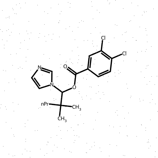 CCCC(C)(C)C(OC(=O)c1ccc(Cl)c(Cl)c1)n1ccnc1